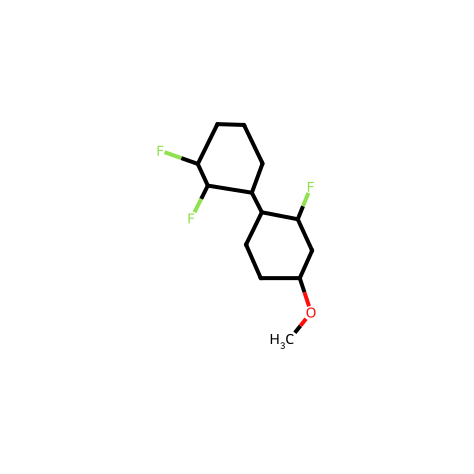 COC1CCC(C2CCCC(F)C2F)C(F)C1